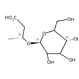 C[C@H](CC(=O)O)O[C@H]1OC(CO)[C@H](O)C(O)C1O